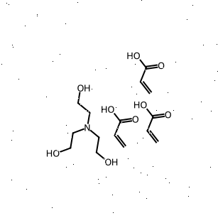 C=CC(=O)O.C=CC(=O)O.C=CC(=O)O.OCCN(CCO)CCO